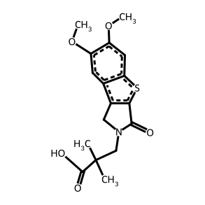 COc1cc2sc3c(c2cc1OC)CN(CC(C)(C)C(=O)O)C3=O